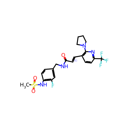 CS(=O)(=O)Nc1ccc(CNC(=O)/C=C/c2ccc(C(F)(F)F)nc2N2CCCC2)cc1F